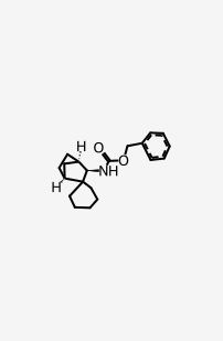 O=C(N[C@@H]1[C@@H]2CC[C@@H](C2)C12CCCCC2)OCc1ccccc1